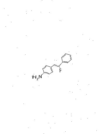 Nc1ccc(C=C(F)c2ccccc2)cc1